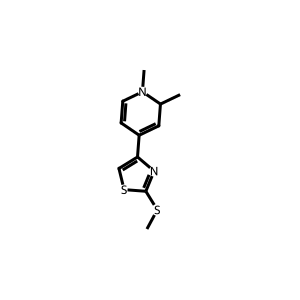 CSc1nc(C2=CC(C)N(C)C=C2)cs1